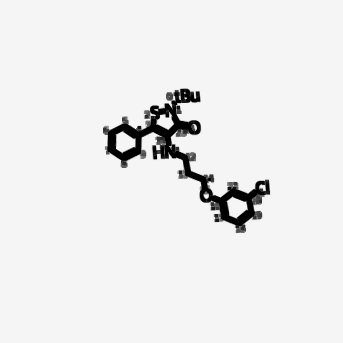 CC(C)(C)n1sc(-c2ccccc2)c(NCCCOc2cccc(Cl)c2)c1=O